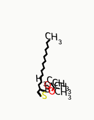 CCCCCCCCCCCCCCCc1ccsc1B1OC(C)(C)C(C)(C)O1